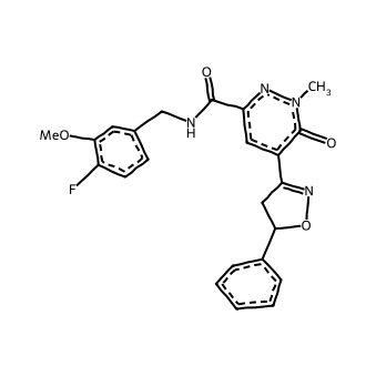 COc1cc(CNC(=O)c2cc(C3=NOC(c4ccccc4)C3)c(=O)n(C)n2)ccc1F